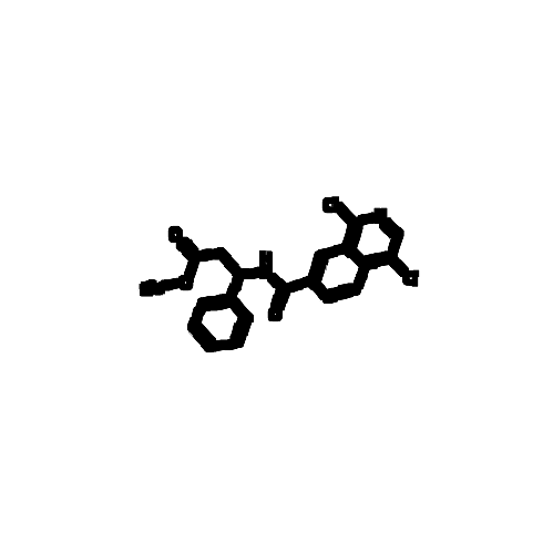 CC(C)(C)OC(=O)CC(NC(=O)c1ccc2c(Cl)cnc(Cl)c2c1)c1ccccc1